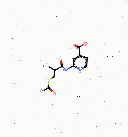 CC(=O)SCC(C)C(=O)Nc1cc(C(=O)O)ccn1